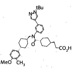 COc1ccc([C@H]2CC[C@H](CN(c3cccc(-c4cnn(C(C)(C)C)c4)c3)C(=O)[C@H]3CC[C@H](CCC(=O)O)CC3)CC2)cc1C